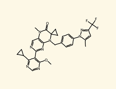 COc1ncnc(C2CC2)c1-c1ncc2c(n1)N(Cc1ccc(-n3nc(C(F)(F)F)cc3C)cc1)C1(CC1)C(=O)N2C